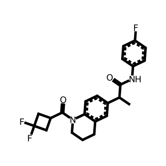 CC(C(=O)Nc1ccc(F)cc1)c1ccc2c(c1)CCCN2C(=O)C1CC(F)(F)C1